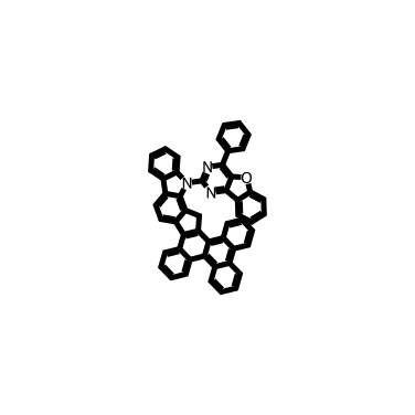 c1ccc(-c2nc(-n3c4ccccc4c4ccc5c(c43)Cc3c-5c4ccccc4c4c5ccccc5c5ccccc5c34)nc3c2oc2ccccc23)cc1